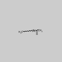 CCCCCCCCCCSSSCC(O)CC